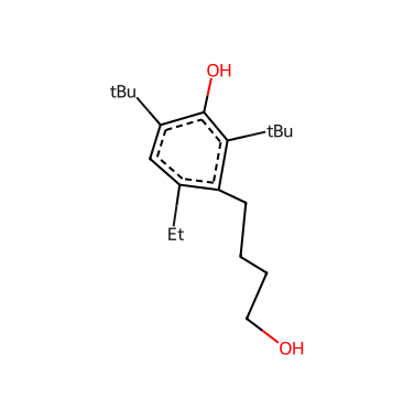 CCc1cc(C(C)(C)C)c(O)c(C(C)(C)C)c1CCCCO